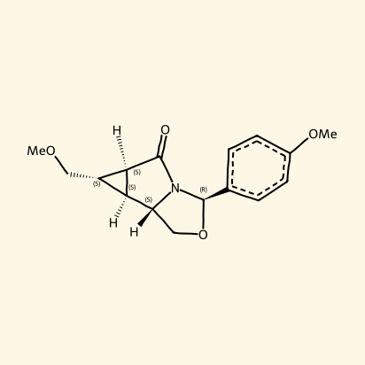 COC[C@@H]1[C@H]2C(=O)N3[C@@H](c4ccc(OC)cc4)OC[C@@H]3[C@@H]12